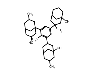 CC1CC2CC(c3cc(C4(C)CC5CCCC(O)(C5)C4)cc(C45CC(C)CC(CC(O)C4)C5)c3S(=O)(=O)O)CC(O)(C1)C2